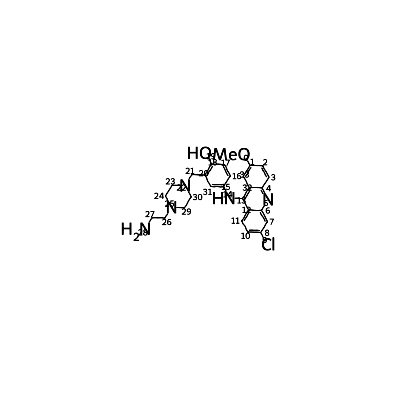 COc1ccc2nc3cc(Cl)ccc3c(Nc3ccc(O)c(CN4CCN(CCN)CC4)c3)c2c1